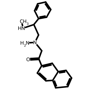 CNC(CN(N)CC(=O)c1ccc2ccccc2c1)c1ccccc1